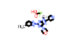 Cc1ccc2nn(-c3nc(N4CCOCC4)c4nc(-c5ccncc5)n(C)c4n3)nc2c1.O=C(O)C(F)(F)F